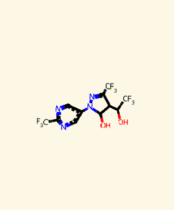 OC1C(C(O)C(F)(F)F)C(C(F)(F)F)=NN1c1cnc(C(F)(F)F)nc1